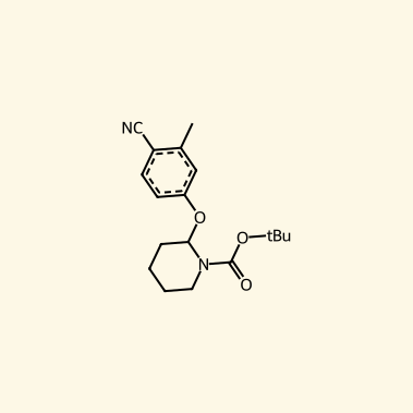 Cc1cc(OC2CCCCN2C(=O)OC(C)(C)C)ccc1C#N